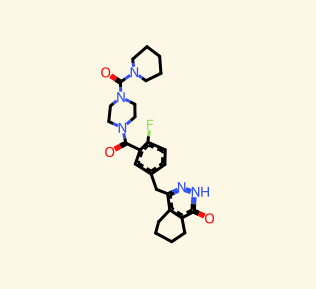 O=C(c1cc(Cc2n[nH]c(=O)c3c2CCCC3)ccc1F)N1CCN(C(=O)N2CCCCC2)CC1